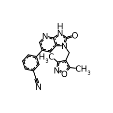 Cc1noc(C)c1Cn1c(=O)[nH]c2ncc(-c3cccc(C#N)c3)cc21